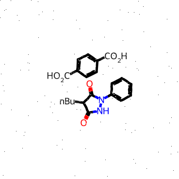 CCCCC1C(=O)NN(c2ccccc2)C1=O.O=C(O)c1ccc(C(=O)O)cc1